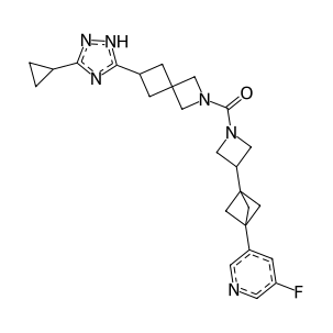 O=C(N1CC(C23CC(c4cncc(F)c4)(C2)C3)C1)N1CC2(CC(c3nc(C4CC4)n[nH]3)C2)C1